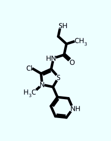 CC(CS)C(=O)NC1=C(Cl)N(C)C(C2=CC=CNC2)S1